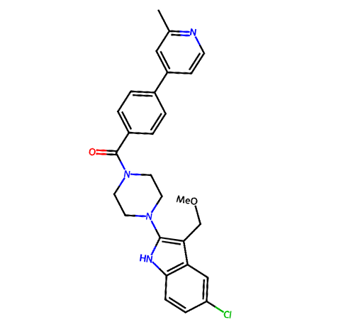 COCc1c(N2CCN(C(=O)c3ccc(-c4ccnc(C)c4)cc3)CC2)[nH]c2ccc(Cl)cc12